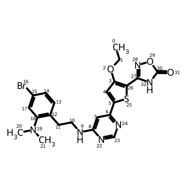 CCOc1cc(-c2cc(NCCc3ccc(Br)cc3N(C)C)ncn2)sc1-c1noc(=O)[nH]1